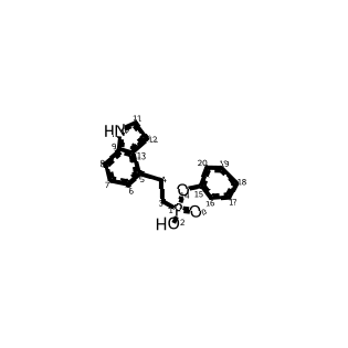 O=P(O)(CCc1cccc2[nH]ccc12)Oc1ccccc1